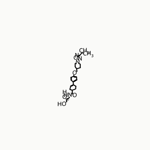 CC(C)c1noc(N2CCC(COc3ccc(C4=CCC(C(=O)NC[C@H](O)CO)CC4)cc3)CC2)n1